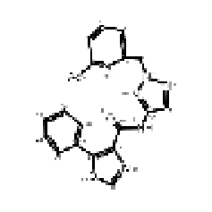 CC(=O)c1cccc(Cn2ncc(NC(=O)c3ncoc3-c3ccccc3)n2)n1